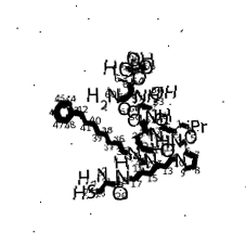 CC(C)C[C@H](NC(=O)[C@@H]1CCCN1C(=O)CCCCCNC(=O)[C@@H](N)CS)C(=O)N[C@@H](Cc1cncn1CCCCCCCCc1ccccc1)C(=O)N[C@@H](CO)C(=O)N[C@H](C(N)=O)[C@@H](C)OP(=O)(O)O